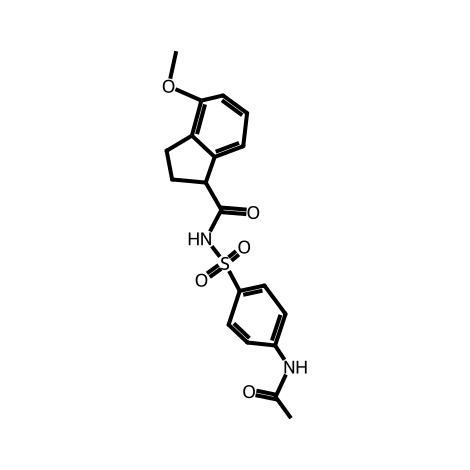 COc1cccc2c1CCC2C(=O)NS(=O)(=O)c1ccc(NC(C)=O)cc1